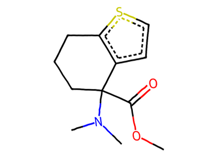 COC(=O)C1(N(C)C)CCCc2sccc21